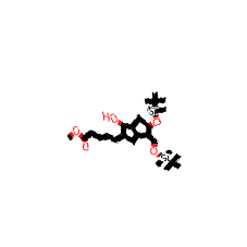 COC(=O)CCCCC1CC2C(CO[Si](C)(C)C(C)(C)C)C(O[Si](C)(C)C(C)(C)C)CC2C1O